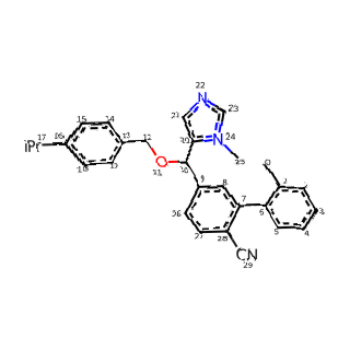 Cc1ccccc1-c1cc(C(OCc2ccc(C(C)C)cc2)c2cncn2C)ccc1C#N